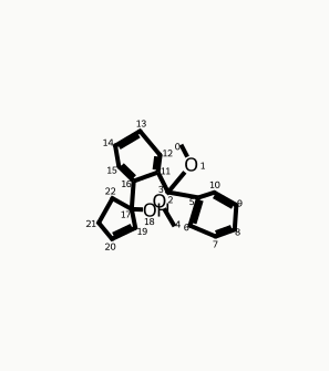 COC(OC)(c1ccccc1)c1ccccc1C1(O)C=CCC1